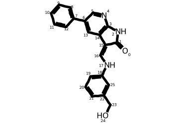 O=C1Nc2ncc(-c3ccccc3)cc2/C1=C/Nc1cccc(CO)c1